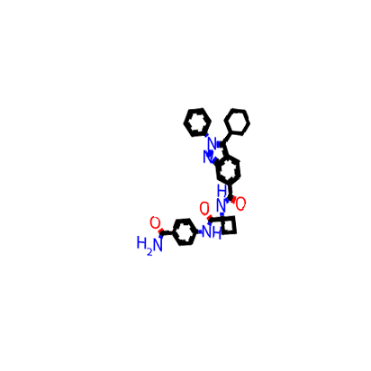 NC(=O)c1ccc(NC(=O)C2(NC(=O)c3ccc4c(C5CCCCC5)n(-c5ccccc5)nc4c3)CCC2)cc1